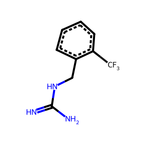 N=C(N)NCc1ccccc1C(F)(F)F